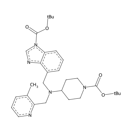 Cc1cccnc1CN(Cc1cccc2c1ncn2C(=O)OC(C)(C)C)C1CCN(C(=O)OC(C)(C)C)CC1